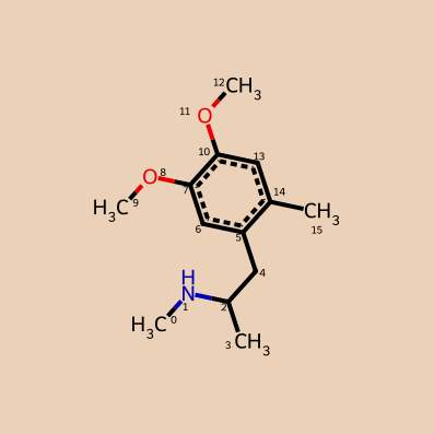 CNC(C)Cc1cc(OC)c(OC)cc1C